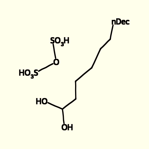 CCCCCCCCCCCCCCCC(O)O.O=S(=O)(O)OS(=O)(=O)O